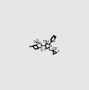 O=c1c(C2=NS(=O)(=O)c3cc(I)ccc3N2)c(O)c(-c2cccs2)nn1CC1(C(F)(F)F)CC1